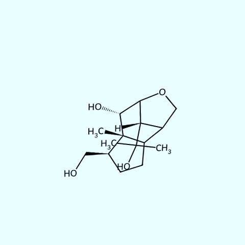 CC(C)(O)[C@H]1C2COC1[C@@H](O)[C@]1(C)C2CC[C@H]1CO